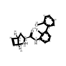 O=C(Nc1cccc(-c2ccccc2Cl)c1F)[C@@H]1C[C@H]2C=C[C@H]2N1